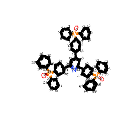 O=P(c1ccccc1)(c1ccccc1)c1ccc(-c2cc(-c3ccc(P(=O)(c4ccccc4)c4ccccc4)cc3)nc(-c3ccc(P(=O)(c4ccccc4)c4ccccc4)cc3)c2)cc1